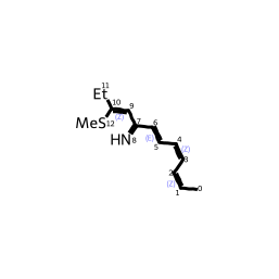 C\C=C/C=C\C=C\C(=N)/C=C(/CC)SC